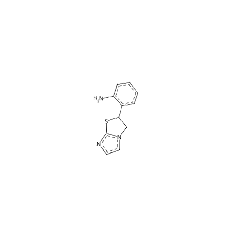 Nc1ccccc1C1Cn2ccnc2S1